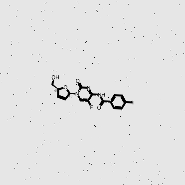 O=C(Nc1nc(=O)n([C@H]2C=C[C@@H](CO)O2)cc1F)c1ccc(I)cc1